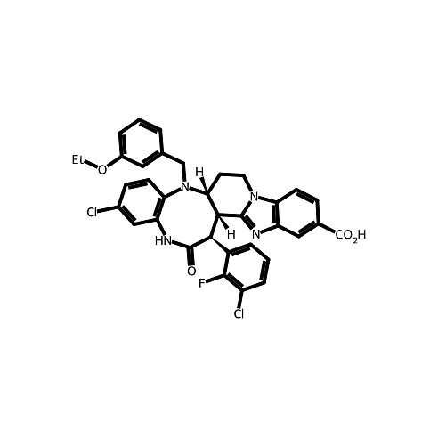 CCOc1cccc(CN2c3ccc(Cl)cc3NC(=O)[C@H](c3cccc(Cl)c3F)[C@H]3c4nc5cc(C(=O)O)ccc5n4CC[C@H]32)c1